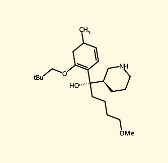 COCCCC[C@@](O)(C1=C(OCC(C)(C)C)CC(C)C=C1)[C@@H]1CCCNC1